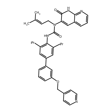 CC(C)=CCN(C(=O)Nc1c(C(C)C)cc(-c2cccc(OCc3ccncc3)c2)cc1C(C)C)c1cc2cccnc2[nH]c1=O